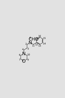 O=CN(CCCN1CCOCC1)Cc1ccccc1